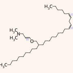 CCCCC/C=C\C/C=C\CCCCCCCCC(CCCCCCCCCC)CO/C=C/CN(C)C